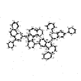 c1ccc(-c2cc3nc(-n4c5ccc(-c6cccc7c6c6c8ccccc8ccc6n7-c6nc(-c7ccccc7)c7ccc8ccccc8c7n6)cc5c5c6ccccc6ccc54)nc(-c4ccccc4)c3s2)cc1